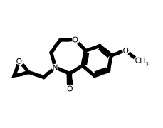 COc1ccc2c(c1)OCCN(CC1CO1)C2=O